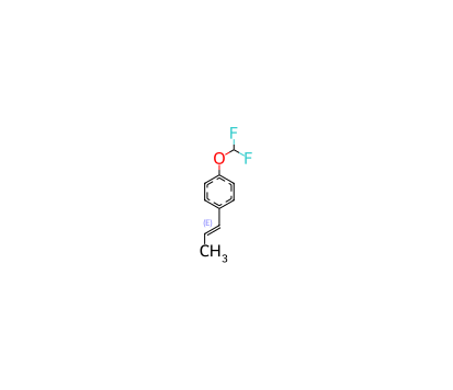 C/C=C/c1ccc(OC(F)F)cc1